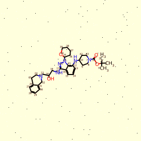 CC(C)(C)OC(=O)N1CCC(Nc2cccc3c(NC[C@H](O)CN4CCc5ccccc5C4)nn(C4CCCCO4)c23)CC1